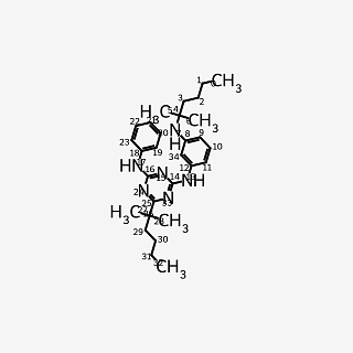 CCCCC(C)(C)Nc1cccc(Nc2nc(Nc3ccccc3)nc(C(C)(C)CCCC)n2)c1